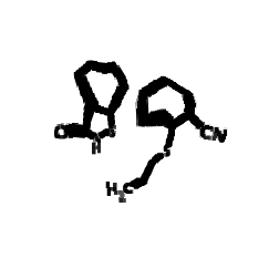 C=CCSc1ccccc1C#N.O=c1[nH]sc2ccccc12